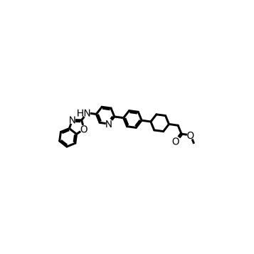 COC(=O)CC1CCC(c2ccc(-c3ccc(Nc4nc5ccccc5o4)cn3)cc2)CC1